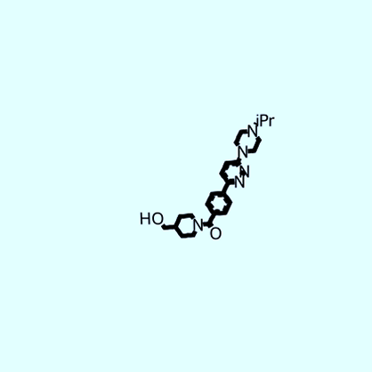 CC(C)N1CCN(c2ccc(-c3ccc(C(=O)N4CCC(CO)CC4)cc3)nn2)CC1